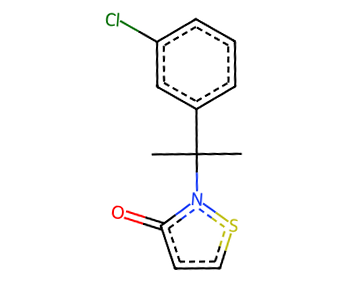 CC(C)(c1cccc(Cl)c1)n1sccc1=O